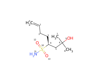 C=CCC[C@@H](CC(C)(C)O)S(N)(=O)=O